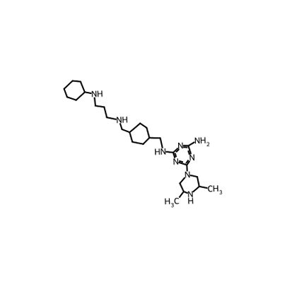 CC1CN(c2nc(N)nc(NCC3CCC(CNCCCNC4CCCCC4)CC3)n2)CC(C)N1